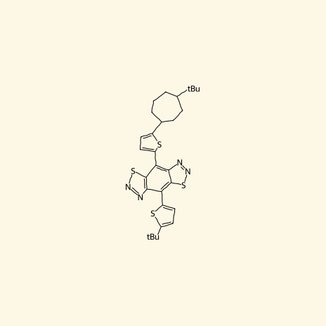 CC(C)(C)c1ccc(-c2c3nnsc3c(-c3ccc(C4CCCC(C(C)(C)C)CC4)s3)c3nnsc23)s1